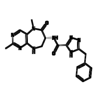 Cc1ncc2c(n1)NC[C@@H](NC(=O)c1nnc(Cc3ccccc3)[nH]1)C(=O)N2C